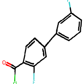 O=C(Cl)c1ccc(-c2cccc(F)c2)cc1F